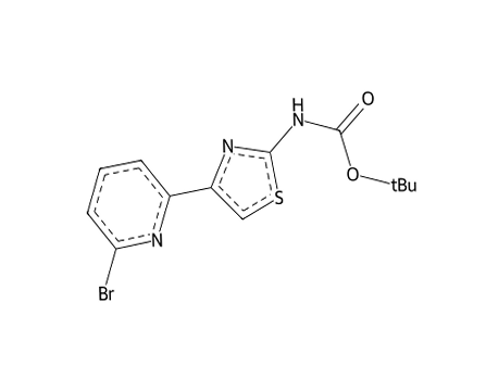 CC(C)(C)OC(=O)Nc1nc(-c2cccc(Br)n2)cs1